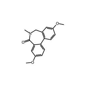 COc1ccc2c(c1)CN(C)C(=O)c1cc(OC)ccc1-2